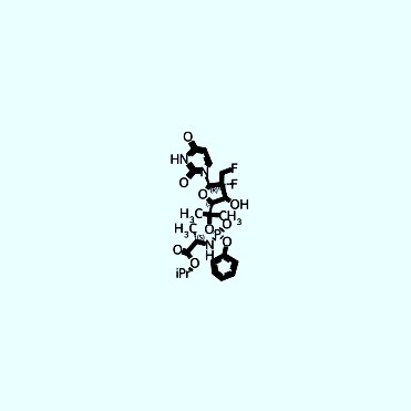 CC(C)OC(=O)[C@H](C)NP(=O)(Oc1ccccc1)OC(C)(C)[C@H]1O[C@@H](n2ccc(=O)[nH]c2=O)[C@@](F)(CF)C1O